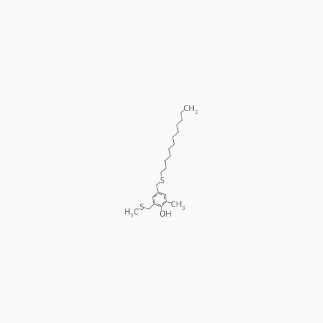 CCCCCCCCCCCCSCc1cc(C)c(O)c(CSC)c1